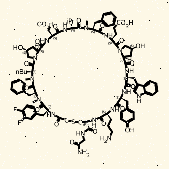 CCCC[C@H]1C(=O)N2C[C@@H](O)C[C@@H]2C(=O)N[C@@H](CC(=O)O)C(=O)N[C@@H](C(C)C)C(=O)N(C)[C@@H](Cc2ccccc2)C(=O)N[C@@H](CCC(=O)O)C(=O)N2C[C@@H](O)C[C@@H]2C(=O)N[C@@H](Cc2c[nH]c3ccccc23)C(=O)N[C@@H](Cc2ccc(O)cc2)C(=O)N[C@@H](CCCN)C(=O)N[C@H](C(=O)NCC(N)=O)CSCC(=O)N[C@@H](Cc2ccc(F)c(F)c2)C(=O)N(C)[C@@H](Cc2ccccc2)C(=O)N1C